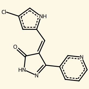 O=C1NN=C(c2cccnc2)C1=Cc1cc(Cl)c[nH]1